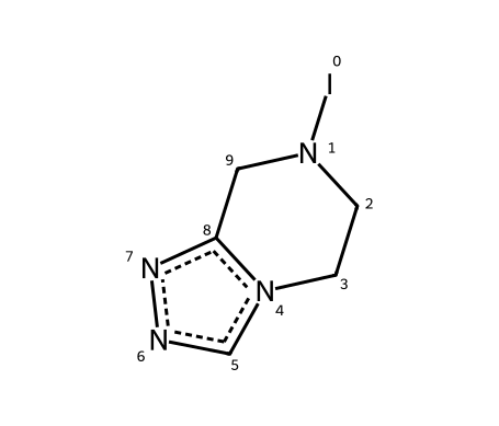 IN1CCn2cnnc2C1